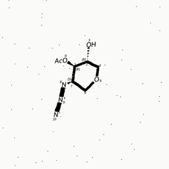 CC(=O)O[C@H]1[C@H](O)COC[C@@H]1N=[N+]=[N-]